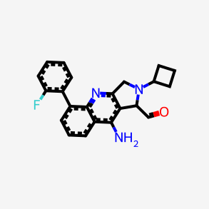 Nc1c2c(nc3c(-c4ccccc4F)cccc13)CN(C1CCC1)C2C=O